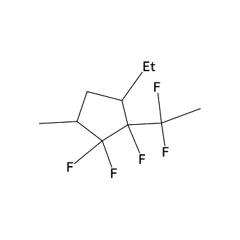 CCC1CC(C)C(F)(F)C1(F)C(C)(F)F